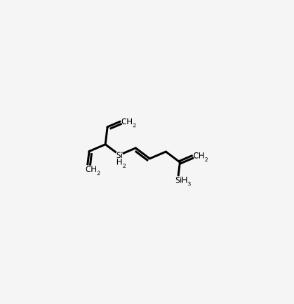 C=CC(C=C)[SiH2]C=CCC(=C)[SiH3]